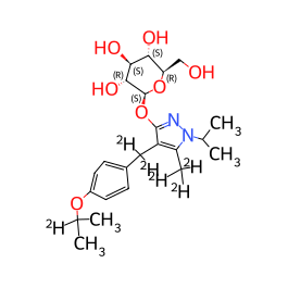 [2H]C(C)(C)Oc1ccc(C([2H])([2H])c2c(O[C@@H]3O[C@H](CO)[C@@H](O)[C@H](O)[C@H]3O)nn(C(C)C)c2C([2H])([2H])[2H])cc1